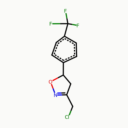 FC(F)(F)c1ccc(C2CC(CCl)=NO2)cc1